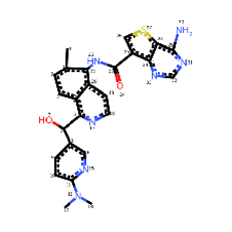 Cc1ccc2c(C(O)c3ccc(N(C)C)nc3)nccc2c1NC(=O)c1csc2c(N)ncnc12